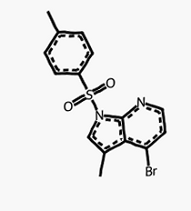 Cc1ccc(S(=O)(=O)n2cc(C)c3c(Br)ccnc32)cc1